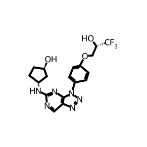 O[C@@H]1CC[C@@H](Nc2ncc3nnn(-c4ccc(OC[C@H](O)C(F)(F)F)cc4)c3n2)C1